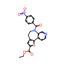 CCOC(=O)c1cc2c(s1)-c1ccncc1N(C(=O)c1ccc([N+](=O)[O-])cc1)CC2